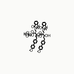 COc1ccc(-c2ccc(CC[C@H](O)[C@H](CCn3nnc4ccccc4c3=O)C(=O)O)cc2)cc1.COc1ccc(-c2ccc(CC[C@H](O)[C@H](CCn3nnc4ccccc4c3=O)C(=O)O)cc2)cc1.O=C([O-])[O-].[K+].[K+]